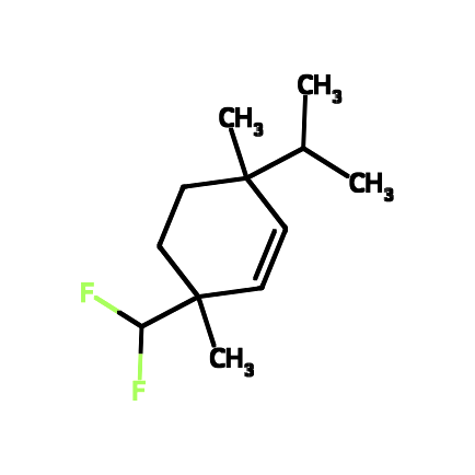 CC(C)C1(C)C=CC(C)(C(F)F)CC1